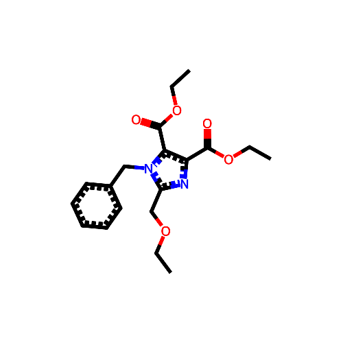 CCOCc1nc(C(=O)OCC)c(C(=O)OCC)n1Cc1ccccc1